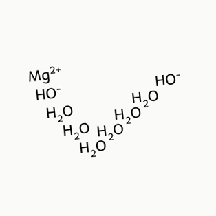 O.O.O.O.O.O.[Mg+2].[OH-].[OH-]